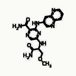 COCC(Nc1cnc(C(N)=O)c(Nc2cnc3cccnc3c2)n1)C(N)=O